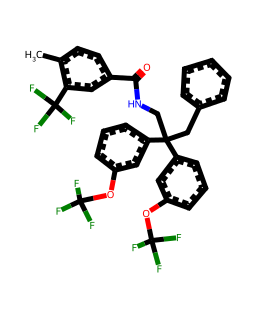 Cc1ccc(C(=O)NCC(Cc2ccccc2)(c2cccc(OC(F)(F)F)c2)c2cccc(OC(F)(F)F)c2)cc1C(F)(F)F